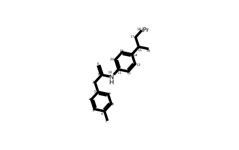 C=C(Cc1ccc(C)cc1)Nc1ccc(C(C)CC(C)C)cc1